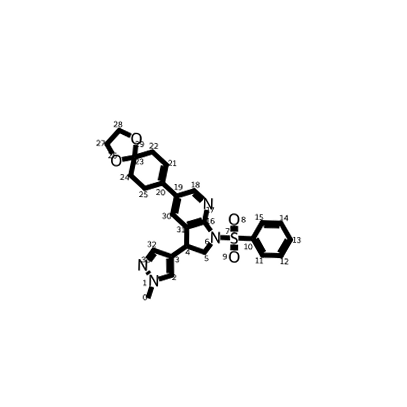 Cn1cc(C2CN(S(=O)(=O)c3ccccc3)c3ncc(C4=CCC5(CC4)OCCO5)cc32)cn1